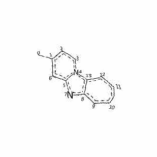 Cc1ccn2c(c1)nc1ccccc12